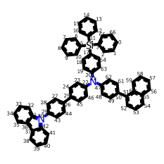 c1ccc([Si](c2ccccc2)(c2ccccc2)c2ccc(N(c3ccc(-c4ccc(-n5c6ccccc6c6ccccc65)cc4)cc3)c3ccc(-c4cccc5ccccc45)cc3)cc2)cc1